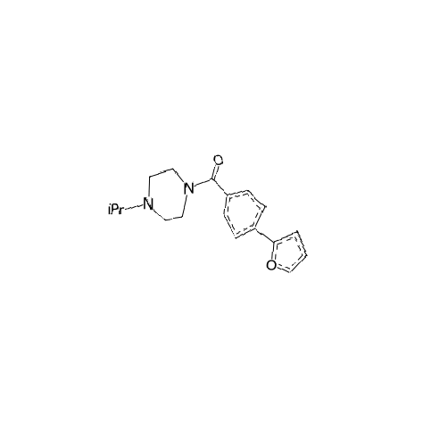 CC(C)N1CCN(C(=O)c2ccc(-c3ccco3)cc2)CC1